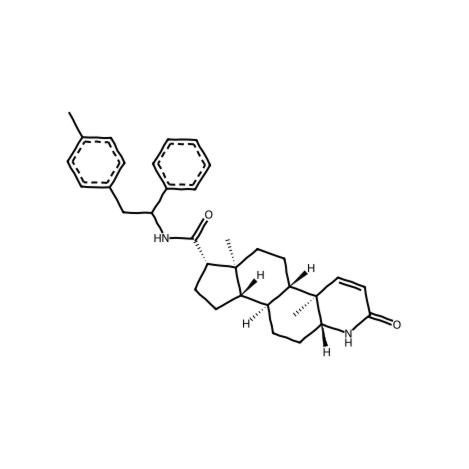 Cc1ccc(CC(NC(=O)[C@H]2CC[C@H]3[C@@H]4CC[C@H]5NC(=O)C=C[C@]5(C)[C@H]4CC[C@]23C)c2ccccc2)cc1